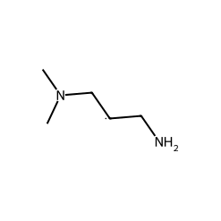 CN(C)C[CH]CN